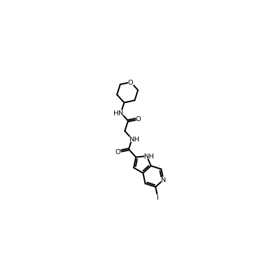 O=C(CNC(=O)c1cc2cc(I)ncc2[nH]1)NC1CCOCC1